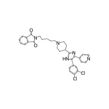 O=C1c2ccccc2C(=O)N1CCCCCN1CCC(c2nc(-c3ccncc3)c(-c3ccc(Cl)c(Cl)c3)[nH]2)CC1